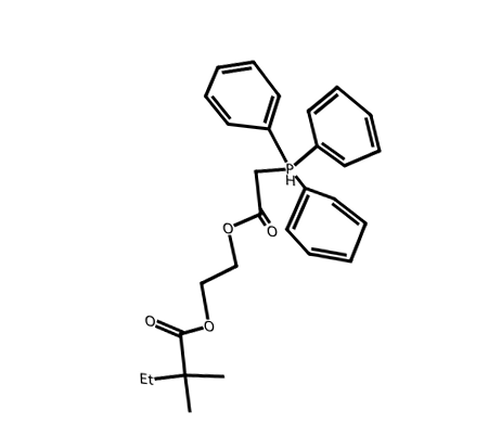 CCC(C)(C)C(=O)OCCOC(=O)C[PH](c1ccccc1)(c1ccccc1)c1ccccc1